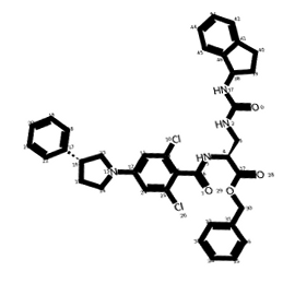 O=C(NC[C@H](NC(=O)c1c(Cl)cc(N2CC[C@H](c3ccccc3)C2)cc1Cl)C(=O)OCc1ccccc1)NC1CCc2ccccc21